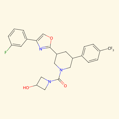 O=C(N1CC(O)C1)N1CC(c2ccc(C(F)(F)F)cc2)CC(c2nc(-c3cccc(F)c3)co2)C1